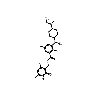 CCN(c1cc(Cl)cc(C(=O)NCc2c(C)cc(C)[nH]c2=O)c1C)C1CCC(N(C)CC(F)(F)F)CC1